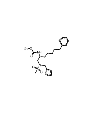 CC(C)(C)OC(=O)N[C@@H](CCC[CH]Cc1ccccc1)CN(Cc1cccs1)S(C)(=O)=O